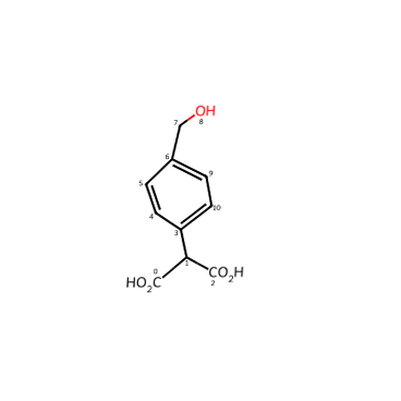 O=C(O)C(C(=O)O)c1ccc(CO)cc1